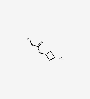 CCOC(=O)N[C@H]1C[C@H](CC)C1